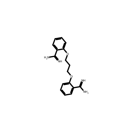 N=C(N)c1ccccc1OCCCOc1ccccc1C(=N)N